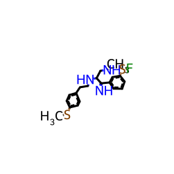 CNCC(NCCc1ccc(SC)cc1)C(=N)c1cccc(SF)c1